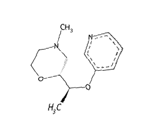 C[C@H](Oc1cccnc1)[C@H]1CN(C)CCO1